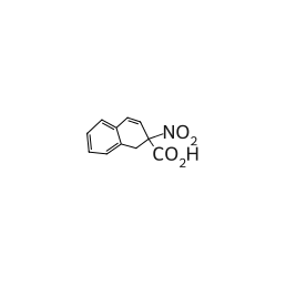 O=C(O)C1([N+](=O)[O-])C=Cc2ccccc2C1